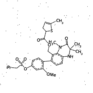 COc1cc(OS(=O)(=O)CC(C)C)ccc1-c1ccc2c(c1COC(=O)C1CC=C(C)S1)N(C)C(=O)C(C)(C)N2